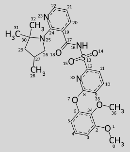 COc1cccc(Oc2cccc(S(=O)(=O)NC(=O)c3cccnc3N3CC(C)CC3(C)C)n2)c1OC